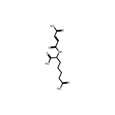 O=C(O)C=CC(=O)NC(CCCCC(=O)O)C(=O)O